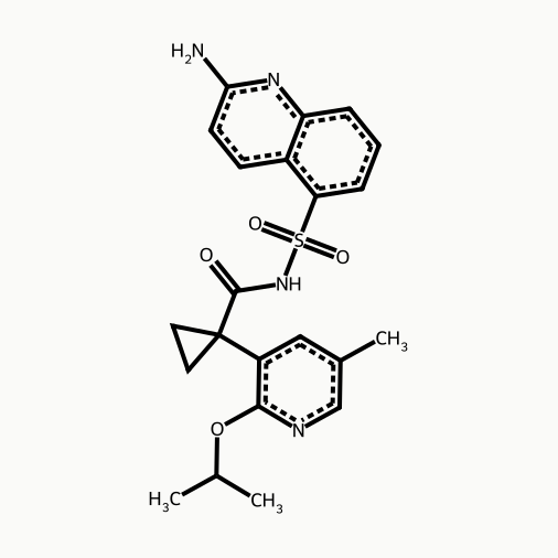 Cc1cnc(OC(C)C)c(C2(C(=O)NS(=O)(=O)c3cccc4nc(N)ccc34)CC2)c1